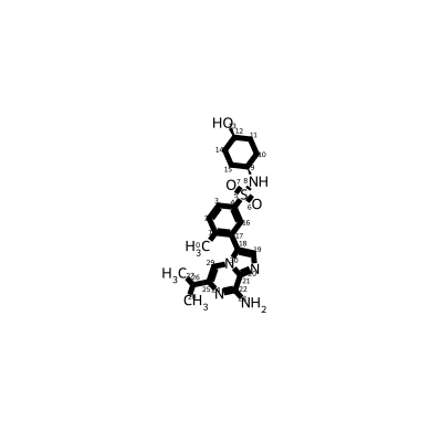 Cc1ccc(S(=O)(=O)N[C@H]2CC[C@H](O)CC2)cc1-c1cnc2c(N)nc(C(C)C)cn12